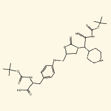 CC(C)(C)OC(=O)NC(=N)C(C1CCNCC1)N1CC(COc2ccc(CC(NC(=O)OC(C)(C)C)C(=O)O)cc2)OC1=O